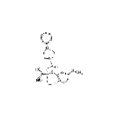 COc1ccc2c(c1)S[C@](CC(=O)N1CCN(c3ccccc3)CC1)(C(=O)O)[C@@H](O)CO2